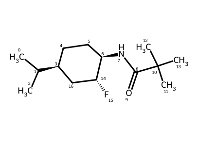 CC(C)[C@H]1CC[C@@H](NC(=O)C(C)(C)C)[C@H](F)C1